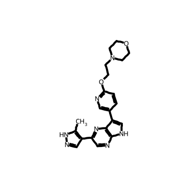 Cc1[nH]ncc1-c1cnc2[nH]cc(-c3ccc(OCCN4CCOCC4)nc3)c2n1